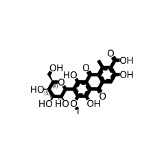 Cc1c(C(=O)O)c(O)cc2c1C(=O)c1c(O)c(C3O[C@H](CO)[C@@H](O)[C@H](O)[C@H]3O)c(OI)c(O)c1C2=O